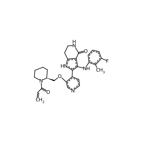 C=CC(=O)N1CCCC[C@H]1COc1cnccc1-c1[nH]c2c(c1Nc1cccc(F)c1C)C(=O)NCC2